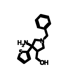 NC1(c2cccs2)CN(Cc2ccccc2)CC1CO